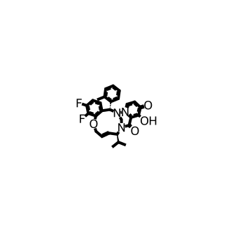 Cc1ccccc1[C@H]1c2ccc(F)c(F)c2OC/C=C/[C@H](C(C)C)N2CN1n1ccc(=O)c(O)c1C2=O